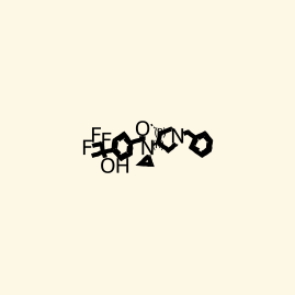 C[C@@H]1CN(Cc2ccccc2)CC[C@H]1N(C(=O)c1ccc(C(C)(O)C(F)(F)F)cc1)C1CC1